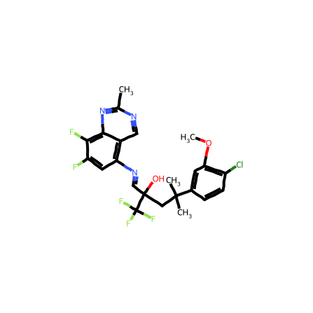 COc1cc(C(C)(C)CC(O)(/C=N/c2cc(F)c(F)c3nc(C)ncc23)C(F)(F)F)ccc1Cl